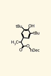 CCCCCCCCCCOC(=O)C(C)c1cc(C(C)(C)C)c(O)c(C(C)(C)C)c1